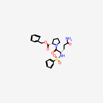 NC(=O)CC[C@H](NS(=O)(=O)c1ccccc1)C(=O)N1CCC[C@H]1C(=O)OCc1ccccc1